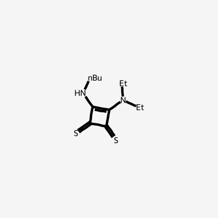 CCCCNc1c(N(CC)CC)c(=S)c1=S